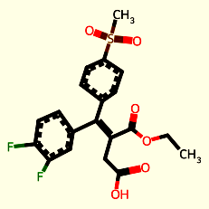 CCOC(=O)/C(CC(=O)O)=C(\c1ccc(S(C)(=O)=O)cc1)c1ccc(F)c(F)c1